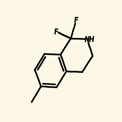 Cc1ccc2c(c1)CCNC2(F)F